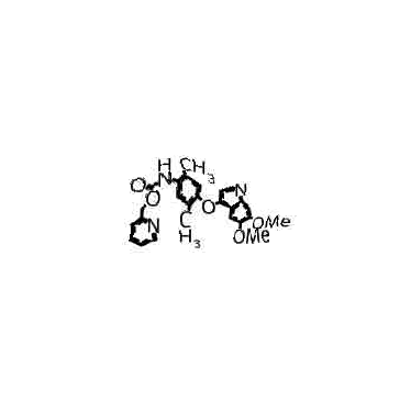 COc1cc2nccc(Oc3cc(C)c(NC(=O)OCc4ccccn4)cc3C)c2cc1OC